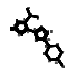 CC(C)c1c[nH]nc1-c1cnn(C2CCN(C)CC2)c1